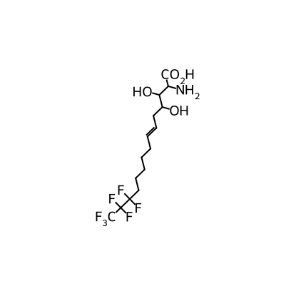 NC(C(=O)O)C(O)C(O)C/C=C/CCCCCC(F)(F)C(F)(F)C(F)(F)F